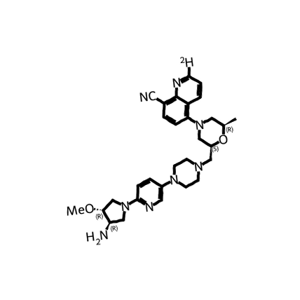 [2H]c1ccc2c(N3C[C@H](CN4CCN(c5ccc(N6C[C@@H](N)[C@H](OC)C6)nc5)CC4)O[C@H](C)C3)ccc(C#N)c2n1